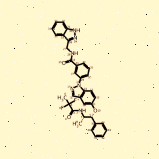 C[C@H](NC(=O)C(C)(F)F)[C@H](Oc1ccc2c(cnn2-c2cccc(C(=O)NCc3n[nH]c4ccccc34)c2)c1)c1ccccc1